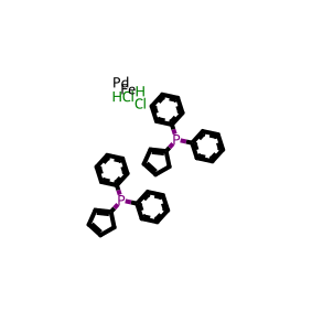 C1=CCC(P(c2ccccc2)c2ccccc2)=C1.C1=CCC(P(c2ccccc2)c2ccccc2)=C1.Cl.Cl.[Fe].[Pd]